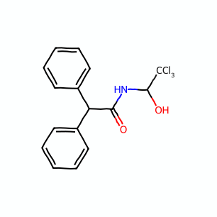 O=C(NC(O)C(Cl)(Cl)Cl)C(c1ccccc1)c1ccccc1